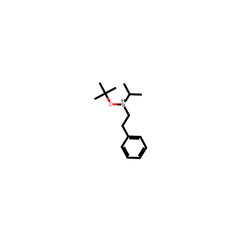 CC(C)[SiH](CCc1ccccc1)OC(C)(C)C